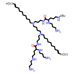 CCCCCCCC/C=C/CCCCCCCCN(CCCCN(CCCCCCCC/C=C/CCCCCCCC)CCCNC(=O)C(CCCNCCCN)NCCCN)CCCNC(=O)C(CCCNCCCC)NCCCN